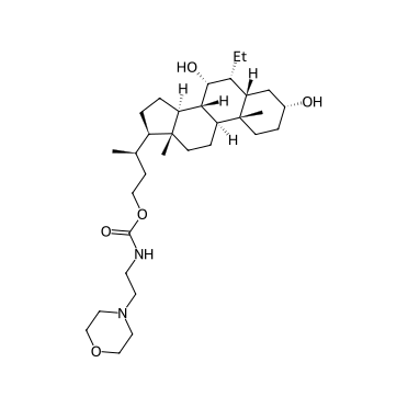 CC[C@H]1[C@@H](O)[C@@H]2[C@H](CC[C@]3(C)[C@@H]([C@H](C)CCOC(=O)NCCN4CCOCC4)CC[C@@H]23)[C@@]2(C)CC[C@@H](O)C[C@@H]12